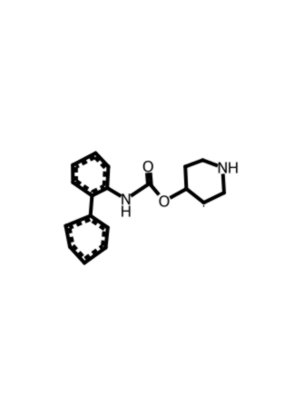 O=C(Nc1ccccc1-c1ccccc1)OC1[CH]CNCC1